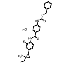 CCC1(N)CC1c1ccc(NC(=O)c2ccc(NC(=O)OCc3ccccc3)cc2)c(F)c1.Cl